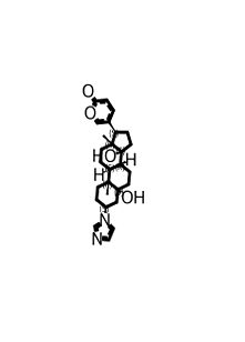 C[C@]12CC[C@H](n3ccnc3)C[C@@]1(O)CC[C@@H]1[C@@H]2CC[C@]2(C)[C@@H](c3ccc(=O)oc3)CC[C@]12O